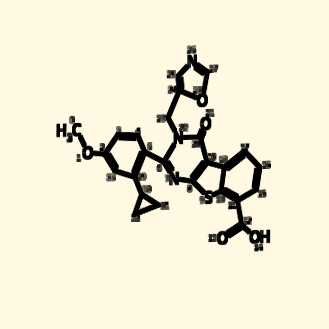 COc1ccc(-c2nc3sc4c(C(=O)O)cccc4c3c(=O)n2Cc2cnco2)c(C2CC2)c1